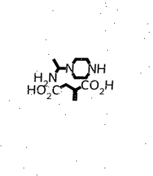 C=C(CC(=O)O)C(=O)O.CC(N)N1CCNCC1